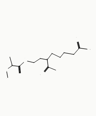 COC(C)C(=O)OCCC(CCCCC(=O)O)C(C)=O